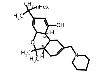 CCCCCCC(C)(C)C1=CC2OC(C)(C)[C@H]3CC=C(CN4CCCCC4)CC3[C@@H]2C(O)=C1